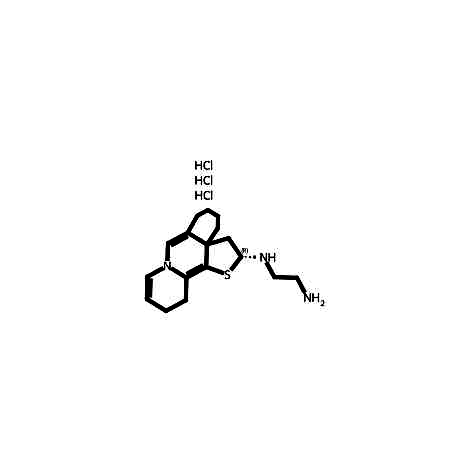 Cl.Cl.Cl.NCCN[C@H]1CC23CCCCC2=CN2C=CCCC2=C3S1